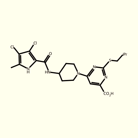 Cc1[nH]c(C(=O)NC2CCN(c3cc(C(=O)O)nc(SCC(C)C)n3)CC2)c(Cl)c1Cl